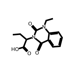 CCC(C(=O)O)n1c(=O)c2ccccc2n(CC)c1=O